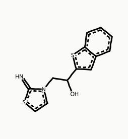 N=c1sccn1CC(O)c1cc2ccccc2s1